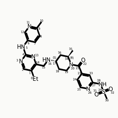 CCc1cnc(Nc2ccc(C)nc2)nc1CN[C@H]1CCN(C(=O)c2ccnc(NS(C)(=O)=O)c2)[C@H](C)C1